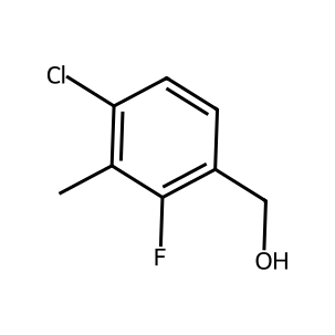 Cc1c(Cl)ccc(CO)c1F